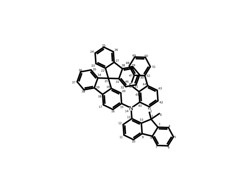 CC1(C)c2ccccc2-c2cccc(N(c3ccc4c(c3)C3(c5ccccc5-c5ccccc53)c3ccccc3-4)c3cccc4c3sc3ccccc34)c21